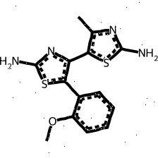 COc1ccccc1-c1sc(N)nc1-c1sc(N)nc1C